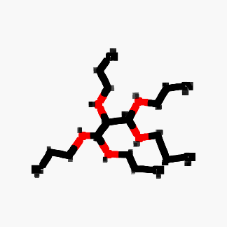 N#CCCOC(OCCC#N)C(OCCC#N)C(OCCC#N)OCCC#N